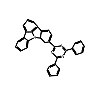 C1=C(c2nc(-c3ccccc3)nc(-c3ccccc3)n2)CC2C(=C1)c1cccc3c4ccccc4n2c13